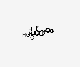 O=C(NO)c1cc(F)c2c(c1)CCN([C@@H]1CCC3(CCC3)C1)C2